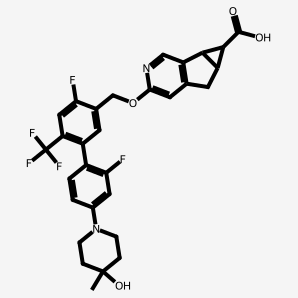 CC1(O)CCN(c2ccc(-c3cc(COc4cc5c(cn4)C4C(C5)C4C(=O)O)c(F)cc3C(F)(F)F)c(F)c2)CC1